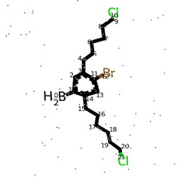 Bc1cc(CCCCCCCl)c(Br)cc1CCCCCCCl